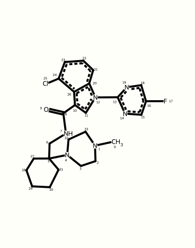 CN1CCN(C2(CNC(=O)c3cn(-c4ncc(F)cn4)c4cccc(Cl)c34)CCCCC2)CC1